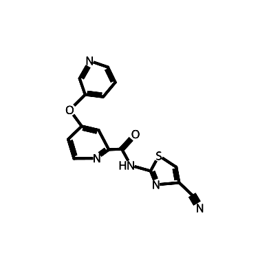 N#Cc1csc(NC(=O)c2cc(Oc3cccnc3)ccn2)n1